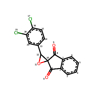 O=C1c2ccccc2C(=O)C12OC2c1ccc(Cl)c(Cl)c1